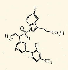 C=CC(c1cncc(-c2ccc(C(F)(F)F)cc2Cl)c1)S(=O)(=O)n1cc(CCC(=O)O)c2cc(F)ccc21